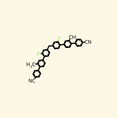 Cc1cc(-c2ccc(Cc3ccc(-c4ccc(-c5ccc(C#N)cc5)c(C)c4)c(F)c3)cc2F)ccc1-c1ccc(C#N)cc1